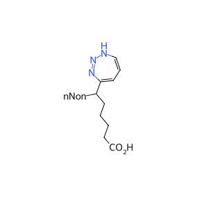 CCCCCCCCCC(CCCCC(=O)O)C1=CC=CNN=N1